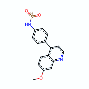 COc1ccc2c(-c3ccc(N[SH](=O)=O)cc3)ccnc2c1